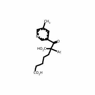 CC(=O)C(CCCCC(=O)O)(C(=O)O)C(=O)c1cncc(C)c1